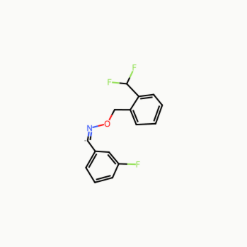 Fc1cccc(/[C]=N\OCc2ccccc2C(F)F)c1